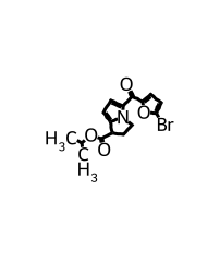 CC(C)OC(=O)C1CCn2c(C(=O)c3ccc(Br)o3)ccc21